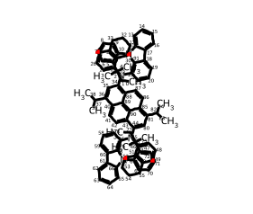 CCC(C)(C)c1ccccc1-n1c2ccccc2c2cccc(N(c3cccc4c3CCCC4)c3cc(C(C)C)c4ccc5c(N(c6cccc7c6CCCC7)c6cccc7c8ccccc8n(-c8ccccc8C(C)(C)CC)c67)cc(C(C)C)c6ccc3c4c65)c21